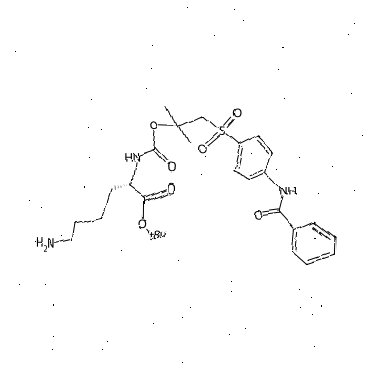 CC(C)(C)OC(=O)[C@H](CCCCN)NC(=O)OC(C)(C)CS(=O)(=O)c1ccc(NC(=O)c2ccccc2)cc1